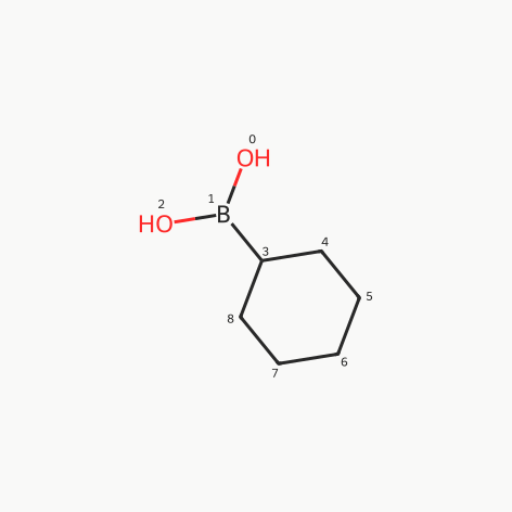 OB(O)C1CCCCC1